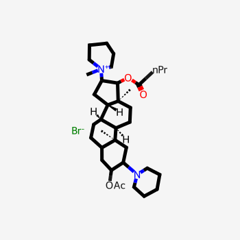 CCCC(=O)OC1C([N+]2(C)CCCCC2)C[C@H]2[C@@H]3CCC4CC(OC(C)=O)C(N5CCCCC5)C[C@]4(C)[C@@H]3CC[C@]12C.[Br-]